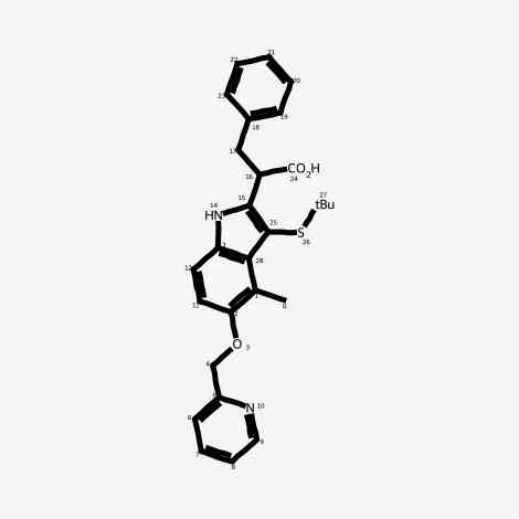 Cc1c(OCc2ccccn2)ccc2[nH]c(C(Cc3ccccc3)C(=O)O)c(SC(C)(C)C)c12